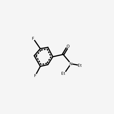 CCN(CC)C(=O)c1cc(F)cc(F)c1